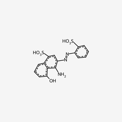 Nc1c(N=Nc2ccccc2S(=O)(=O)O)cc(S(=O)(=O)O)c2cccc(O)c12